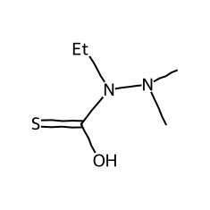 CCN(C(O)=S)N(C)C